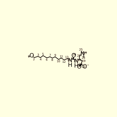 COCCCCCCCCCCCCNC(=O)NC(CC(=O)[O-])C[N+](C)(C)C